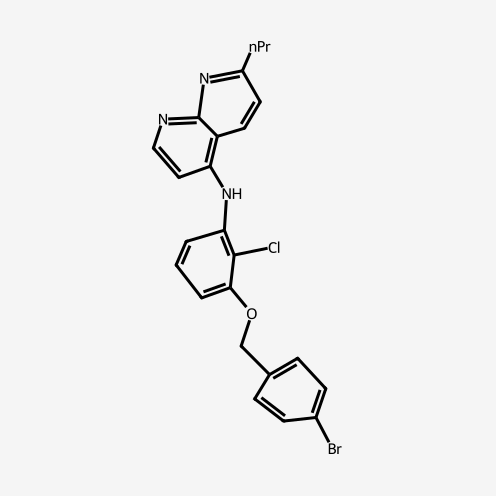 CCCc1ccc2c(Nc3cccc(OCc4ccc(Br)cc4)c3Cl)ccnc2n1